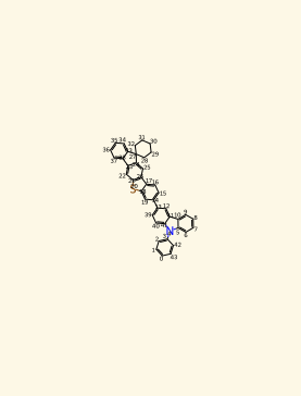 c1ccc(-n2c3ccccc3c3cc(-c4ccc5c(c4)sc4cc6c(cc45)C4(CCCCC4)c4ccccc4-6)ccc32)cc1